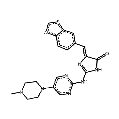 CN1CCN(c2cnc(NC3=N/C(=C\c4ccc5ncsc5c4)C(=O)N3)nc2)CC1